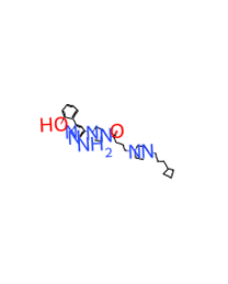 Nc1nnc(-c2ccccc2O)cc1N1CCN(C(=O)CCCN2CCN(CCCC3CCC3)CC2)CC1